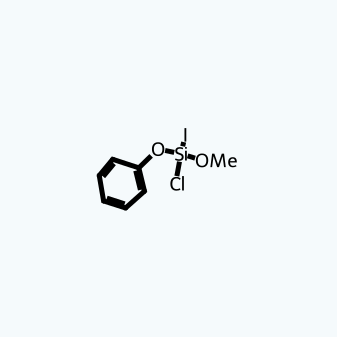 CO[Si](Cl)(I)Oc1ccccc1